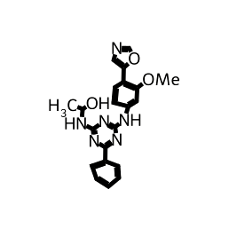 COc1cc(Nc2nc(NC(C)O)nc(-c3ccccc3)n2)ccc1-c1cnco1